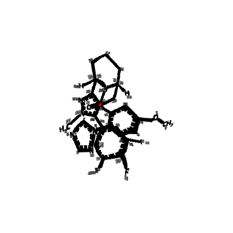 COc1ccc(-n2cncn2)c(C(=O)N2[C@@H]3CCC[C@H]2c2nn(C)c(-c4cc(F)c(F)c(F)c4)c2C3)c1